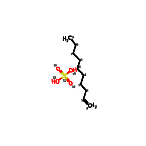 C=CCCCCCCCC.O=S(=O)(O)O